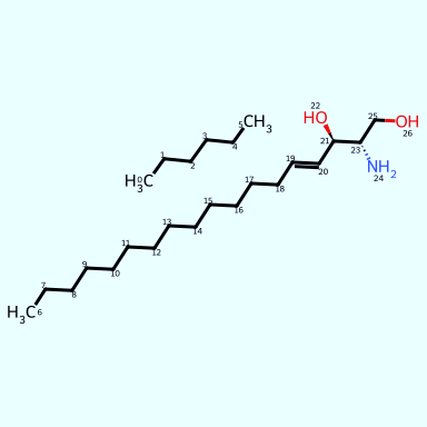 CCCCCC.CCCCCCCCCCCCC/C=C/[C@@H](O)[C@@H](N)CO